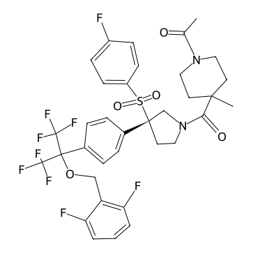 CC(=O)N1CCC(C)(C(=O)N2CC[C@](c3ccc(C(OCc4c(F)cccc4F)(C(F)(F)F)C(F)(F)F)cc3)(S(=O)(=O)c3ccc(F)cc3)C2)CC1